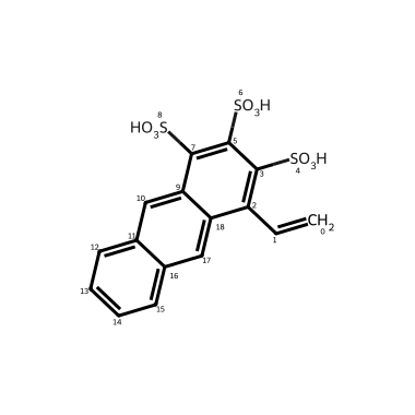 C=Cc1c(S(=O)(=O)O)c(S(=O)(=O)O)c(S(=O)(=O)O)c2cc3ccccc3cc12